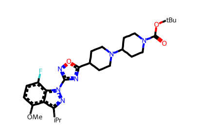 COc1ccc(F)c2c1c(C(C)C)nn2-c1noc(C2CCN(C3CCN(C(=O)OC(C)(C)C)CC3)CC2)n1